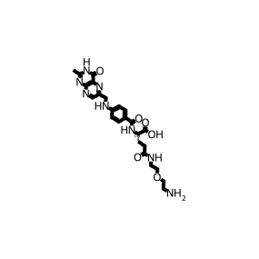 Cc1nc2ncc(CNc3ccc(C(=O)N[C@@H](CCC(=O)NCCOCCN)C(=O)O)cc3)nc2c(=O)[nH]1